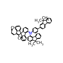 C#C/C=C\C1=C(C)C2(c3ccccc31)c1ccccc1-c1c(N(c3ccc(-c4ccc5c(c4)C(C)(C)c4ccccc4-5)cc3)c3cccc4c3-c3ccccc3C4(C)C)cccc12